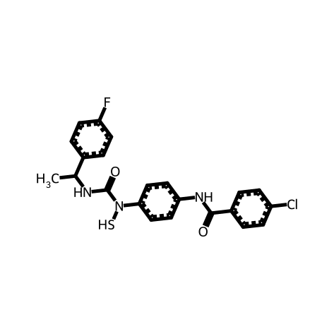 CC(NC(=O)N(S)c1ccc(NC(=O)c2ccc(Cl)cc2)cc1)c1ccc(F)cc1